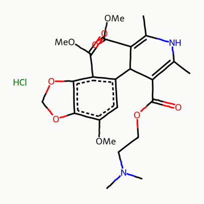 COC(=O)C1=C(C)NC(C)=C(C(=O)OCCN(C)C)C1c1cc(OC)c2c(c1C(=O)OC)OCO2.Cl